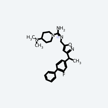 CC(c1ccc(-c2ccccc2)c(F)c1)c1cc(C/N=C(/N)N2CCC(N(C)C)CC2)on1